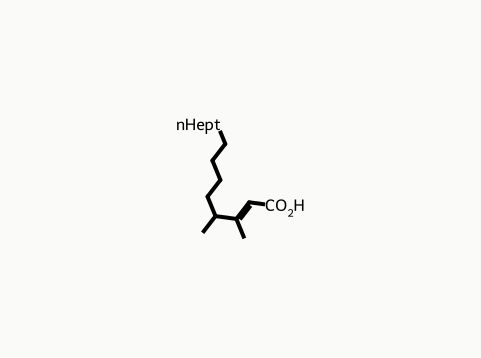 CCCCCCCCCCCC(C)C(C)=CC(=O)O